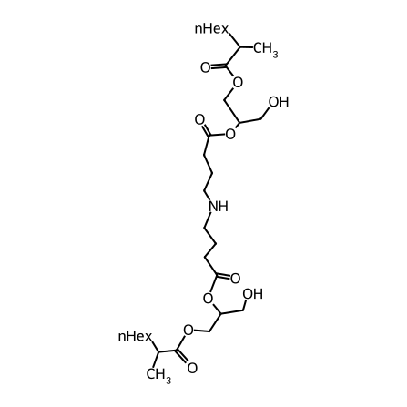 CCCCCCC(C)C(=O)OCC(CO)OC(=O)CCCNCCCC(=O)OC(CO)COC(=O)C(C)CCCCCC